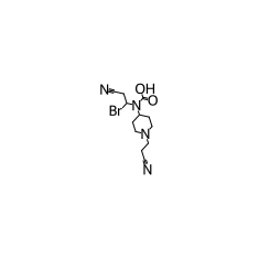 N#CCCN1CCC(N(C(=O)O)C(Br)CC#N)CC1